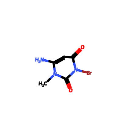 Cn1c(N)cc(=O)n(Br)c1=O